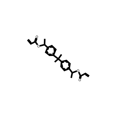 C=CC(=O)OC(C)c1ccc(C(C)(C)c2ccc(C(C)OC(=O)C=C)cc2)cc1